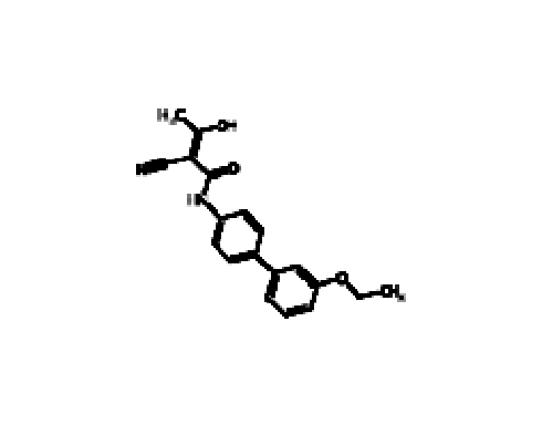 CCOc1cccc(-c2ccc(NC(=O)/C(C#N)=C(/C)O)cc2)c1